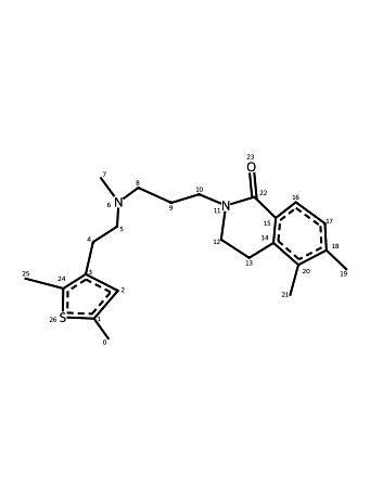 Cc1cc(CCN(C)CCCN2CCc3c(ccc(C)c3C)C2=O)c(C)s1